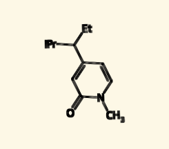 CCC(c1ccn(C)c(=O)c1)C(C)C